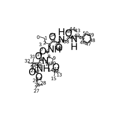 CC[C@@H](C)C(NC(=O)[C@@H]1C[C@@H](OC(C)(C)C)CN1C(=O)[C@@H](NC(=O)OCC(C)C)C(C)(C)C)C(=O)C(=O)NCC(=O)N[C@H](CC)c1ccccc1